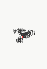 O=C1OC2(c3ccc(O[C@@H]4O[C@H](CO)[C@@H](O)[C@H](O)[C@H]4O)cc3Oc3cc(O[C@@H]4O[C@H](CO)[C@@H](O)[C@H](O)[C@H]4O)ccc32)c2ccc(NC(=O)c3c(F)c(F)c(F)c(F)c3F)cc21